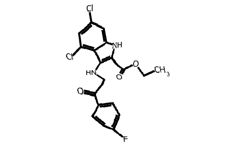 CCOC(=O)c1[nH]c2cc(Cl)cc(Cl)c2c1NCC(=O)c1ccc(F)cc1